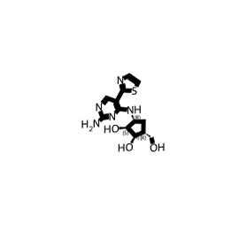 Nc1ncc(-c2nccs2)c(N[C@@H]2C[C@H](CO)[C@@H](O)[C@H]2O)n1